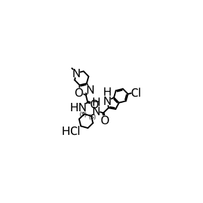 CN1CCc2nc(C(=O)N[C@H]3CCCC[C@@H]3NC(=O)c3cc4cc(Cl)ccc4[nH]3)oc2C1.Cl